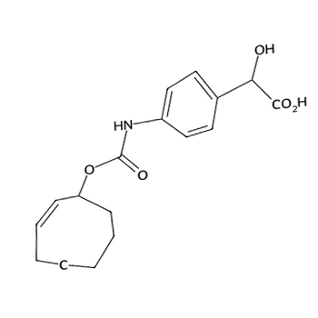 O=C(Nc1ccc(C(O)C(=O)O)cc1)OC1C=CCCCCC1